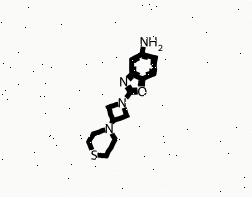 Nc1ccc2oc(N3CC(N4CCSCC4)C3)nc2c1